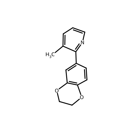 Cc1cccnc1-c1ccc2c(c1)OCCO2